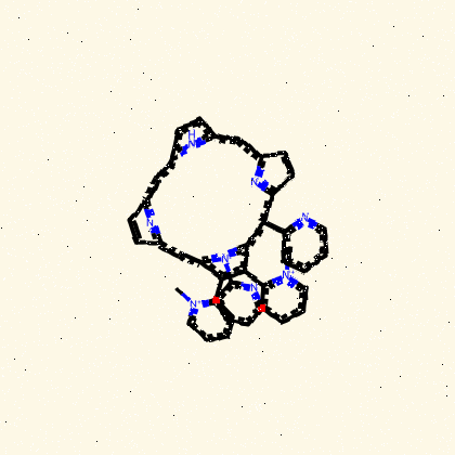 C[n+]1ccccc1-c1c(-c2cccc[n+]2C)c2c(-c3ccccn3)c3nc(cc4ccc(cc5nc(cc1n2-c1ccccn1)C=C5)[nH]4)C=C3